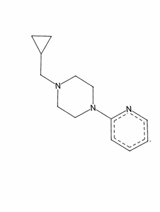 [c]1ccc(N2CCN(CC3CC3)CC2)nc1